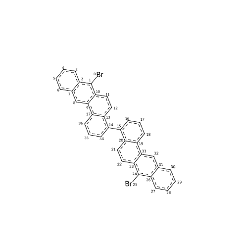 Brc1c2ccccc2cc2c1ccc1c(-c3cccc4c3ccc3c(Br)c5ccccc5cc34)cccc12